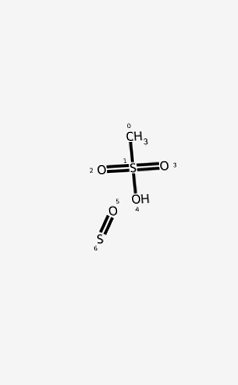 CS(=O)(=O)O.O=S